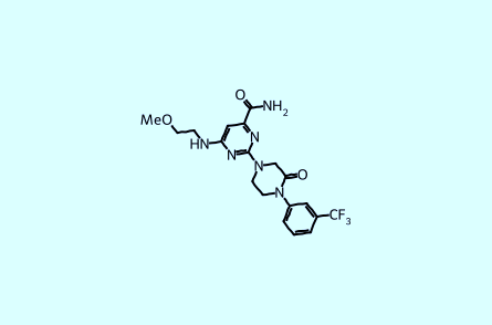 COCCNc1cc(C(N)=O)nc(N2CCN(c3cccc(C(F)(F)F)c3)C(=O)C2)n1